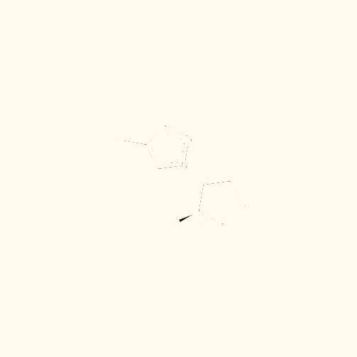 C[C@@H]1COC[C@H]1n1cc(Br)cn1